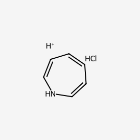 C1=CC=CNC=C1.Cl.[H+]